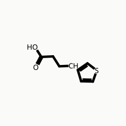 CCCC(=O)O.c1ccsc1